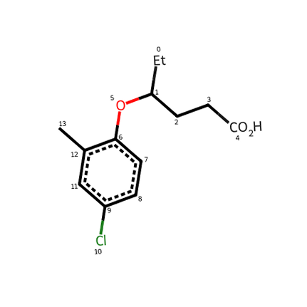 CCC(CCC(=O)O)Oc1ccc(Cl)cc1C